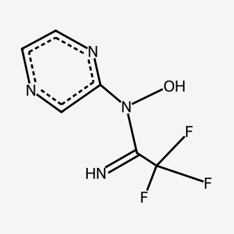 N=C(N(O)c1cnccn1)C(F)(F)F